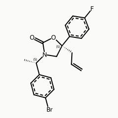 C=CC[C@]1(c2ccc(F)cc2)CN([C@@H](C)c2ccc(Br)cc2)C(=O)O1